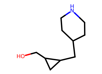 OCC1CC1CC1CCNCC1